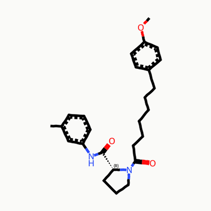 COc1ccc(CCCCCCC(=O)N2CCC[C@@H]2C(=O)Nc2cccc(C)c2)cc1